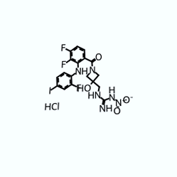 Cl.N=C(NCC1(O)CN(C(=O)c2ccc(F)c(F)c2Nc2ccc(I)cc2F)C1)N[N+](=O)[O-]